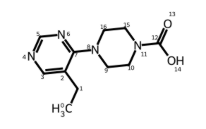 CCc1cncnc1N1CCN(C(=O)O)CC1